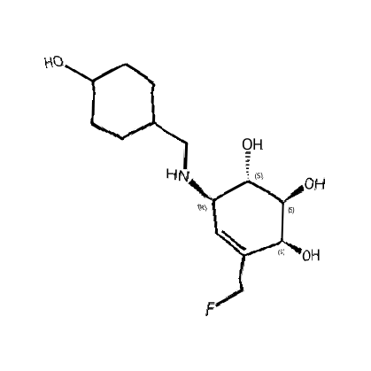 OC1CCC(CN[C@@H]2C=C(CF)[C@H](O)[C@H](O)[C@H]2O)CC1